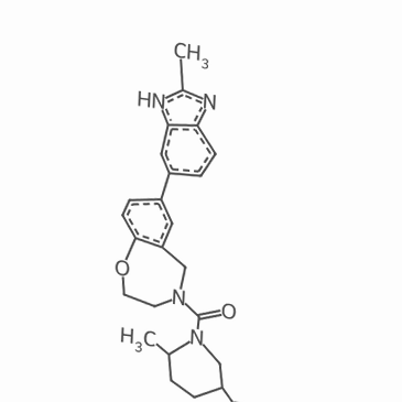 CCC1CCC(C)N(C(=O)N2CCOc3ccc(-c4ccc5nc(C)[nH]c5c4)cc3C2)C1